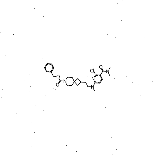 CN(C)C(=O)c1ccc(N(C)CCC2CC3(CCN(C(=O)OCc4ccccc4)CC3)C2)nc1Cl